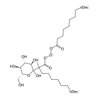 CCCCCCCCCCCCCCCCCC(=O)OOOC(=O)C(C)(CCCCCCCCCCCCCCCC)C1(O)O[C@H](CO)[C@@H](O)[C@H](O)[C@H]1O